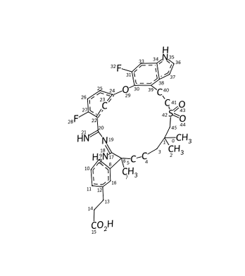 CC1(C)CCCC(C)(c2cccc(CCC(=O)O)c2)/C(N)=N/C(=N)c2cc(ccc2F)Oc2c(F)cc3[nH]ccc3c2CCS(=O)(=O)C1